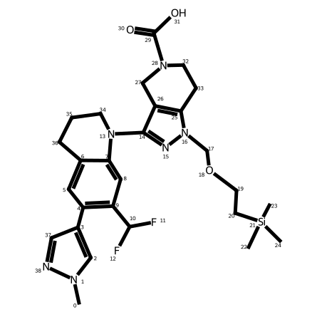 Cn1cc(-c2cc3c(cc2C(F)F)N(c2nn(COCC[Si](C)(C)C)c4c2CN(C(=O)O)CC4)CCC3)cn1